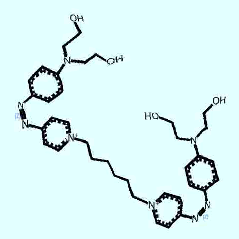 OCCN(CCO)c1ccc(/N=N\c2cc[n+](CCCCCC[n+]3ccc(/N=N\c4ccc(N(CCO)CCO)cc4)cc3)cc2)cc1